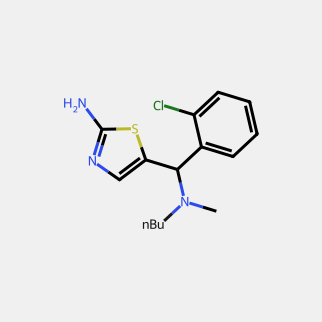 CCCCN(C)C(c1cnc(N)s1)c1ccccc1Cl